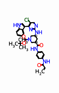 C=CC(=O)Nc1ccc(NC(=O)[C@@H]2C[C@H](Nc3ncc(Cl)c(-c4c[nH]c5ccccc45)n3)CN(C(=O)OC(C)(C)C)C2)cc1